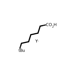 CC(C)(C)CCCCCC(=O)O.[Y]